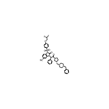 N#Cc1ccc2c(c1)n(C(C(=O)N1CC[C@@H](CN3CCN(Cc4ccccc4)CC3)C1)c1ccccc1)c(=O)n2S(=O)(=O)c1ccc(OCC(F)F)cc1